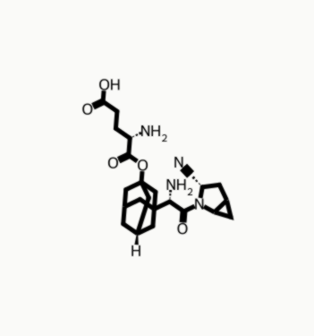 N#C[C@@H]1CC2CC2N1C(=O)[C@@H](N)C12CC3C[C@H](CC(OC(=O)[C@@H](N)CCC(=O)O)(C3)C1)C2